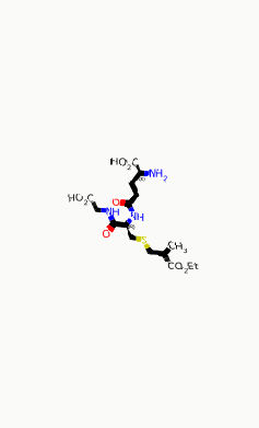 CCOC(=O)C(C)CSC[C@H](NC(=O)CC[C@H](N)C(=O)O)C(=O)NCC(=O)O